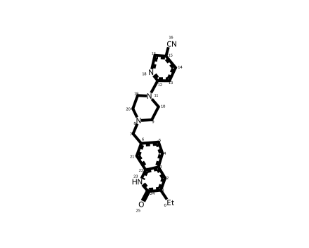 CCc1cc2ccc(CN3CCN(c4ccc(C#N)cn4)CC3)cc2[nH]c1=O